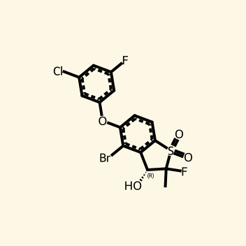 CC1(F)[C@H](O)c2c(ccc(Oc3cc(F)cc(Cl)c3)c2Br)S1(=O)=O